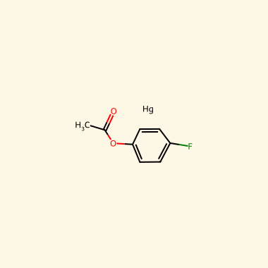 CC(=O)Oc1ccc(F)cc1.[Hg]